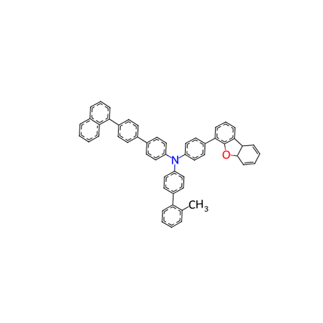 Cc1ccccc1-c1ccc(N(c2ccc(-c3ccc(-c4cccc5ccccc45)cc3)cc2)c2ccc(-c3cccc4c3OC3C=CC=CC43)cc2)cc1